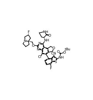 CC(C)(C)OC(=O)Nc1sc2c(F)ccc(-c3c4c(c5c(N[C@@H]6CCNC6=O)nc(OC[C@@]67CCCN6C[C@H](F)C7)nc5c3Cl)COC4)c2c1C#N